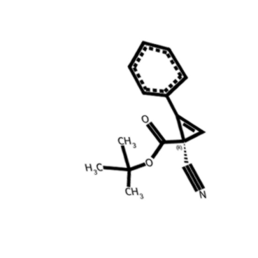 CC(C)(C)OC(=O)[C@]1(C#N)C=C1c1ccccc1